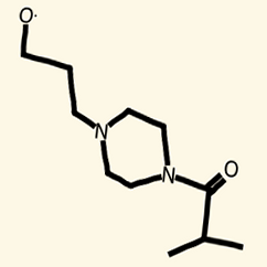 CC(C)C(=O)N1CCN(CCC[O])CC1